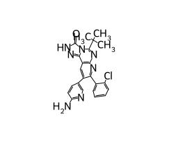 CC(C)(C)c1nc2nc(-c3ccccc3Cl)c(-c3ccc(N)nc3)cc2c2n[nH]c(=O)n12